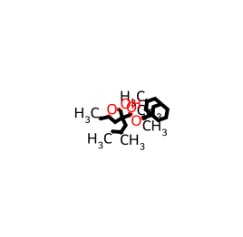 CCC(C)CC1(C(=O)OC(C)(C)C23CCCC(CC(C)C2)C3)CC(CC)OC1O